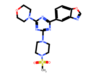 CS(=O)(=O)N1CCN(c2nc(-c3ccc4ocnc4c3)nc(N3CCOCC3)n2)CC1